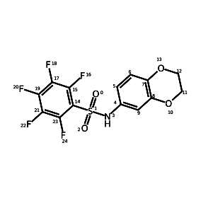 O=S(=O)(Nc1ccc2c(c1)OCCO2)c1c(F)c(F)c(F)c(F)c1F